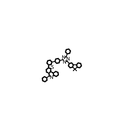 CC1(C)c2ccccc2-c2cc(-c3nc(-c4ccccc4)nc(-c4ccc(-c5cccc6c5sc5c6ccc6c(-c7ccccc7)nc7ccccc7c65)cc4)n3)ccc21